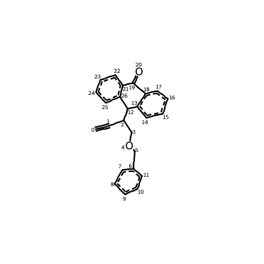 C#CC(COCc1ccccc1)C1c2ccccc2C(=O)c2ccccc21